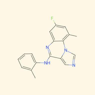 Cc1ccccc1Nc1nc2cc(F)cc(C)c2n2cncc12